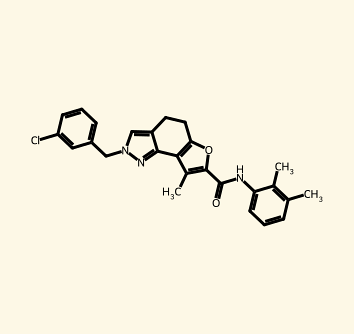 Cc1cccc(NC(=O)c2oc3c(c2C)-c2nn(Cc4cccc(Cl)c4)cc2CC3)c1C